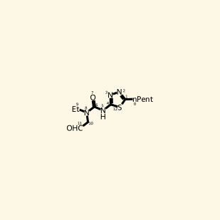 CCCCCc1nnc(NC(=O)N(CC)CC=O)s1